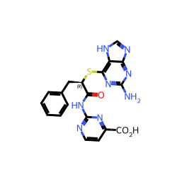 Nc1nc(S[C@H](Cc2ccccc2)C(=O)Nc2nccc(C(=O)O)n2)c2[nH]cnc2n1